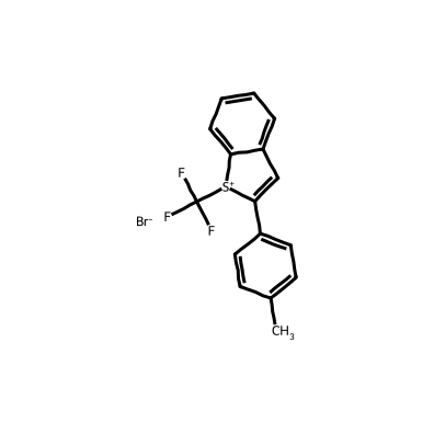 Cc1ccc(-c2cc3ccccc3[s+]2C(F)(F)F)cc1.[Br-]